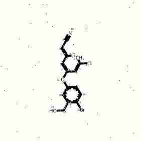 C\C(Cl)=C/C(=C\C(Cl)=C\C#N)Oc1ccc(Br)c(CO)c1